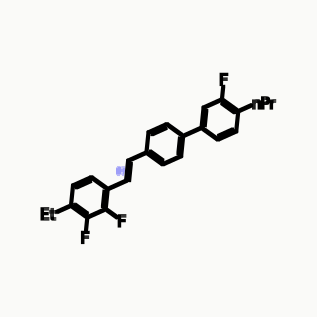 CCCc1ccc(-c2ccc(/C=C/c3ccc(CC)c(F)c3F)cc2)cc1F